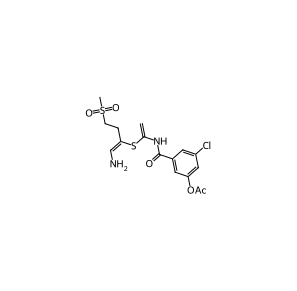 C=C(NC(=O)c1cc(Cl)cc(OC(C)=O)c1)S/C(=C\N)CCS(C)(=O)=O